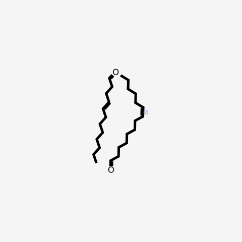 CCCCC/C=C\CCCCCCC=O.CCCCCCCC=CCCC=O